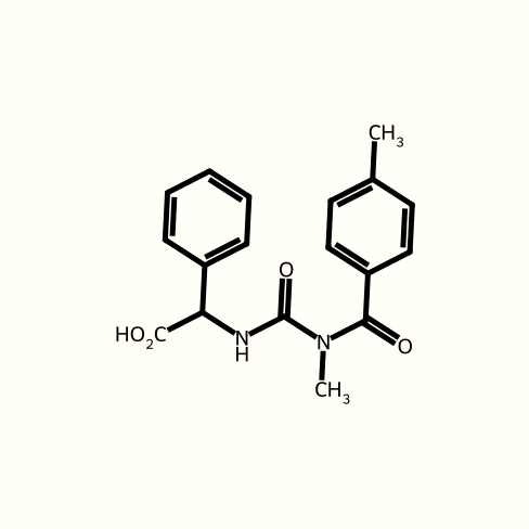 Cc1ccc(C(=O)N(C)C(=O)NC(C(=O)O)c2ccccc2)cc1